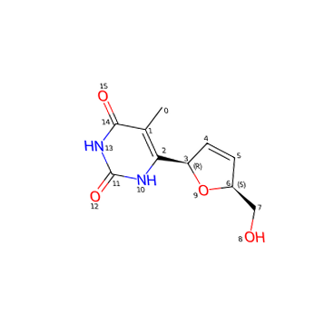 Cc1c([C@H]2C=C[C@@H](CO)O2)[nH]c(=O)[nH]c1=O